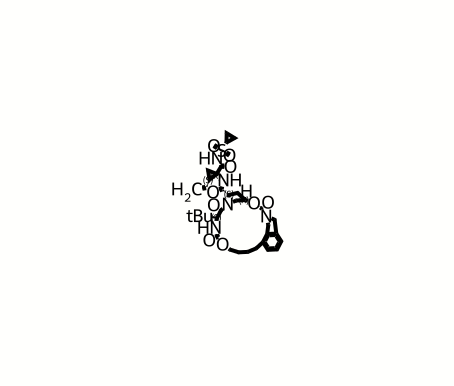 C=C[C@@H]1C[C@]1(NC(=O)[C@@H]1C[C@@H]2CN1C(=O)[C@H](C(C)(C)C)NC(=O)OCCCCc1cccc3c1CN(C3)C(=O)O2)C(=O)NS(=O)(=O)C1CC1